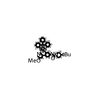 COc1cncc(-c2ccc(NC(=O)N3CCC(C(C)(C)C)CC3)cc2-c2nnn(C(c3ccccc3)(c3ccccc3)c3ccccc3)n2)c1